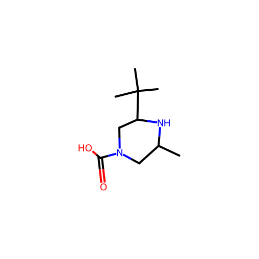 CC1CN(C(=O)O)CC(C(C)(C)C)N1